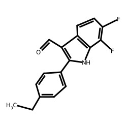 CCc1ccc(-c2[nH]c3c(F)c(F)ccc3c2C=O)cc1